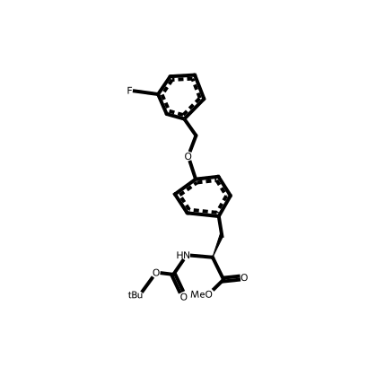 COC(=O)[C@H](Cc1ccc(OCc2cccc(F)c2)cc1)NC(=O)OC(C)(C)C